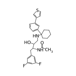 CC(=O)NC(Cc1cc(F)cc(F)c1)C(O)CNC1(c2cccc(-c3ccsc3)c2)CCCCC1